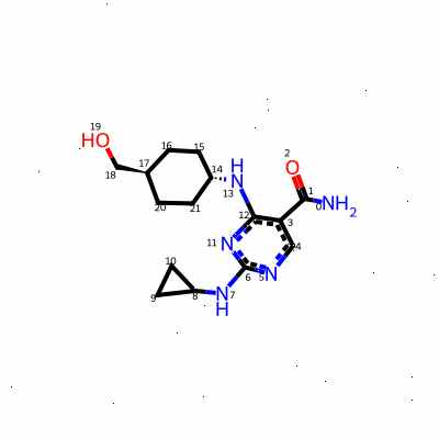 NC(=O)c1cnc(NC2CC2)nc1N[C@H]1CC[C@H](CO)CC1